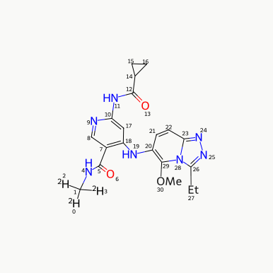 [2H]C([2H])([2H])NC(=O)c1cnc(NC(=O)C2CC2)cc1Nc1ccc2nnc(CC)n2c1OC